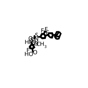 COc1cc(C(=O)O)c(F)cc1NS(=O)(=O)c1csc(-c2ccc(-c3ccc(C45CC6CC(CC(C6)C4)C5)cc3)c(C(F)(F)F)c2)n1